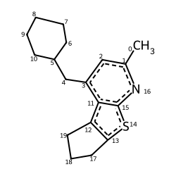 Cc1cc(CC2CCCCC2)c2c3c(sc2n1)CCC3